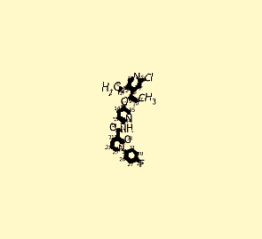 C=Nc1cnc(Cl)cc1/C(=C\C)Oc1ccc(NC(=O)c2cccn(-c3ccc(F)cc3)c2=O)nc1